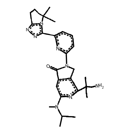 CC(C)N(C)c1cc2c(c(C(C)(C)N)n1)CN(c1cccc(-c3nnc4n3C(C)(C)CC4)n1)C2=O